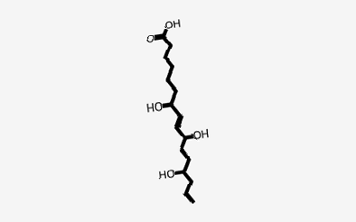 CCCC(O)CCC(O)/C=C/C(O)CCCCCC(=O)O